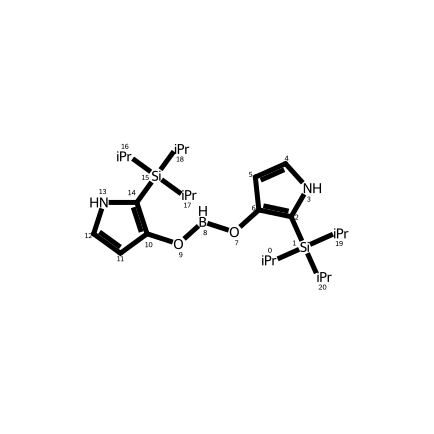 CC(C)[Si](c1[nH]ccc1OBOc1cc[nH]c1[Si](C(C)C)(C(C)C)C(C)C)(C(C)C)C(C)C